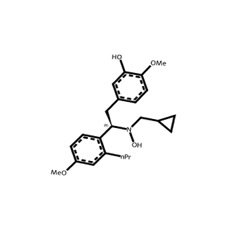 CCCc1cc(OC)ccc1[C@@H](Cc1ccc(OC)c(O)c1)N(O)CC1CC1